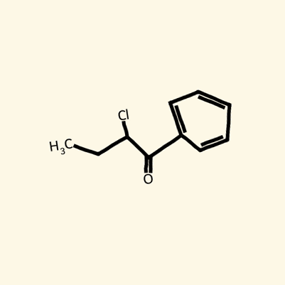 CCC(Cl)C(=O)c1ccccc1